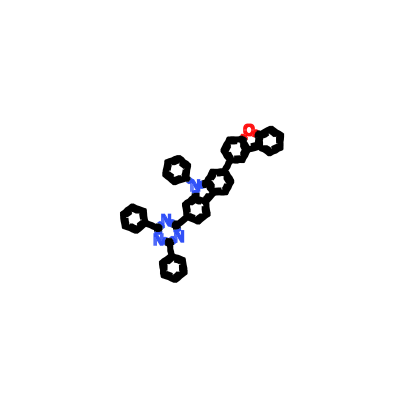 c1ccc(-c2nc(-c3ccccc3)nc(-c3ccc4c5ccc(-c6ccc7oc8ccccc8c7c6)cc5n(-c5ccccc5)c4c3)n2)cc1